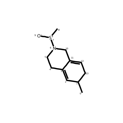 CC1C=C2CCN([S+](C)[O-])CC2=CC1